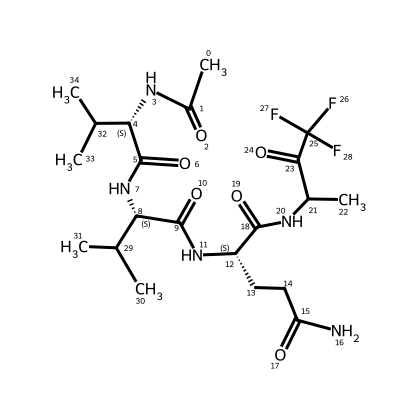 CC(=O)N[C@H](C(=O)N[C@H](C(=O)N[C@@H](CCC(N)=O)C(=O)NC(C)C(=O)C(F)(F)F)C(C)C)C(C)C